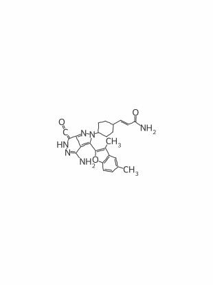 Cc1ccc2oc(-c3c4c(nn3C3CCC(C=CC(N)=O)CC3)C(=C=O)NN=C4N)c(C)c2c1